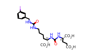 O=C(O)CC[C@H](NC(=O)N[C@@H](CCCCNC(=O)NCc1cccc(I)c1)C(=O)O)C(=O)O